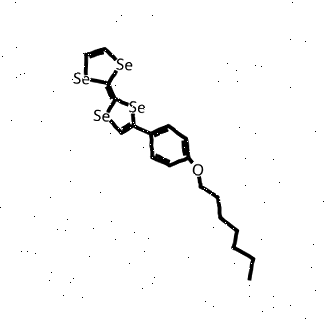 CCCCCCCOc1ccc(C2=C[Se]C(=C3[Se]C=C[Se]3)[Se]2)cc1